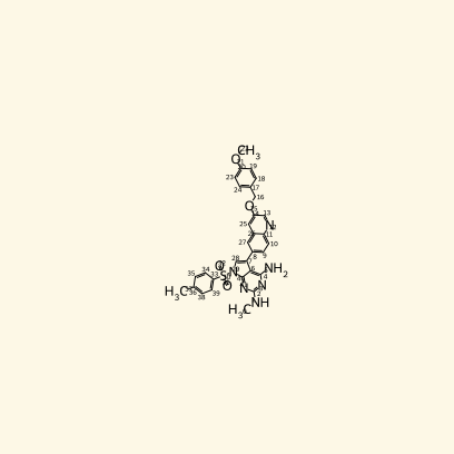 CNc1nc(N)c2c(-c3ccc4ncc(OCc5ccc(OC)cc5)cc4c3)cn(S(=O)(=O)c3ccc(C)cc3)c2n1